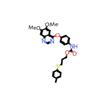 COc1cc2ncnc(Oc3ccc(NC(=O)OCCCSc4ccc(C)cc4)cc3)c2cc1OC